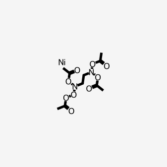 CC(=O)OON(CCN(OC(C)=O)OC(C)=O)OC(C)=O.[Ni]